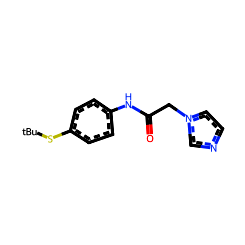 CC(C)(C)Sc1ccc(NC(=O)Cn2ccnc2)cc1